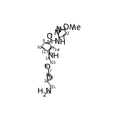 COc1ccc(NC(=O)c2cccc(NCCOCCOCCN)c2C)nn1